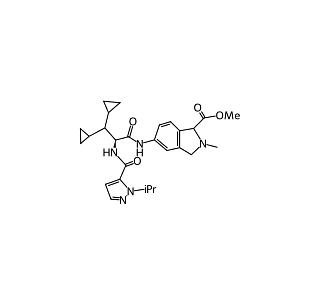 COC(=O)C1c2ccc(NC(=O)[C@@H](NC(=O)c3ccnn3C(C)C)C(C3CC3)C3CC3)cc2CN1C